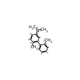 Cc1ccccc1-c1cc(N(C)C)ccc1C